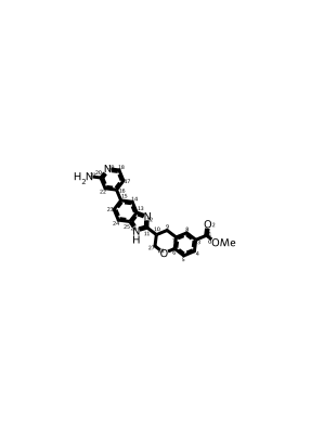 COC(=O)c1ccc2c(c1)CC(c1nc3cc(-c4ccnc(N)c4)ccc3[nH]1)CO2